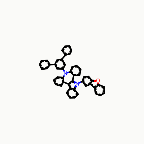 c1ccc(-c2cc(-c3ccccc3)cc(N3c4ccccc4-c4c(n(-c5ccc6oc7ccccc7c6c5)c5ccccc45)-c4ccccc43)c2)cc1